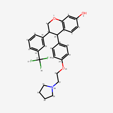 Oc1ccc2c(c1)OCC(c1cccc(C(F)(F)F)c1)C2c1ccc(OCCN2CCCC2)cc1